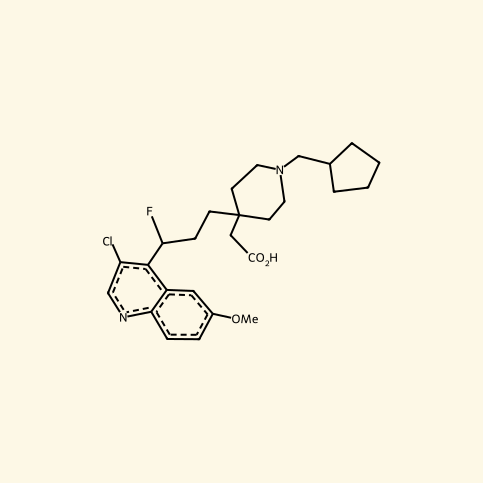 COc1ccc2ncc(Cl)c(C(F)CCC3(CC(=O)O)CCN(CC4CCCC4)CC3)c2c1